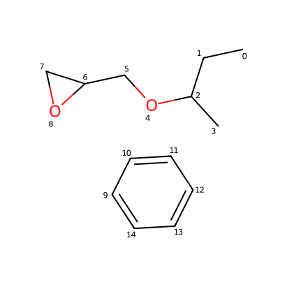 CCC(C)OCC1CO1.c1ccccc1